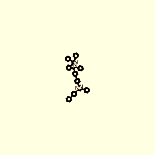 c1ccc(-c2ccc(-c3cc(-c4ccccc4)nc(-c4ccc(-c5ccc(-c6c(-c7ccccc7)n7nc(-c8ccccc8)c(-c8ccccc8)c7c7ccccc67)cc5)cc4)n3)cc2)cc1